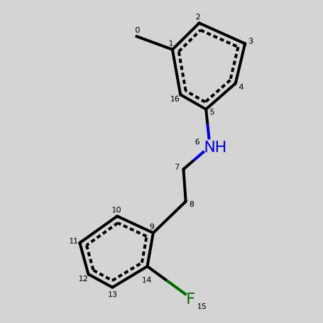 Cc1cccc(NCCc2ccccc2F)c1